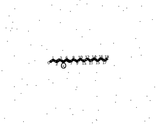 CCC=CC(=O)C=CCCCCCCCCCCC